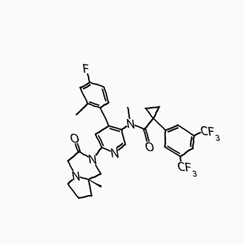 Cc1cc(F)ccc1-c1cc(N2C[C@]3(C)CCCN3CC2=O)ncc1N(C)C(=O)C1(c2cc(C(F)(F)F)cc(C(F)(F)F)c2)CC1